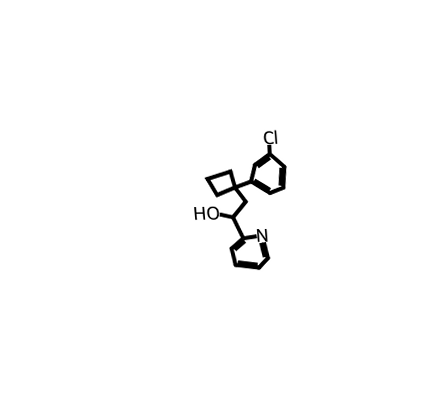 OC(CC1(c2cccc(Cl)c2)CCC1)c1ccccn1